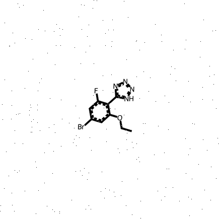 CCOc1cc(Br)cc(F)c1-c1nnn[nH]1